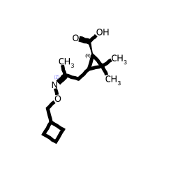 C/C(CC1[C@@H](C(=O)O)C1(C)C)=N/OCC1CCC1